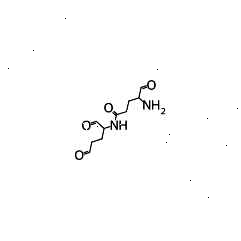 NC(C=O)CCC(=O)NC(C=O)CCC=O